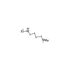 CCNCCCCNC